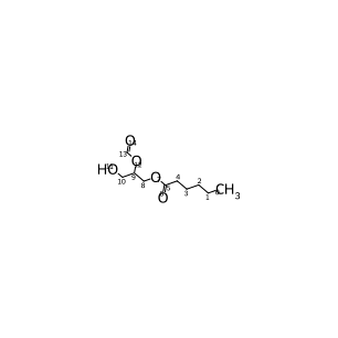 CCCCCC(=O)OCC(CO)OC=O